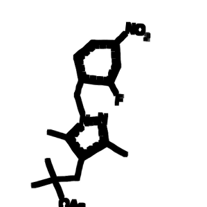 CC(=O)OC(C)(C)Cc1c(C)nn(Cc2ccc([N+](=O)[O-])cc2F)c1C